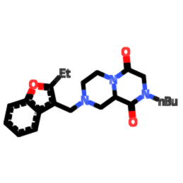 CCCCN1CC(=O)N2CCN(Cc3c(CC)oc4ccccc34)CC2C1=O